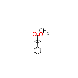 COC(=O)C12CC1(c1ccccc1)C2